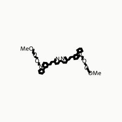 COCCOCCOCCn1c2ccccc2c2cc(/C=C/c3ccc(-c4ccc(/C=C/c5ccc6c(c5)c5ccccc5n6CCOCCOCCOC)cn4)nc3)ccc21